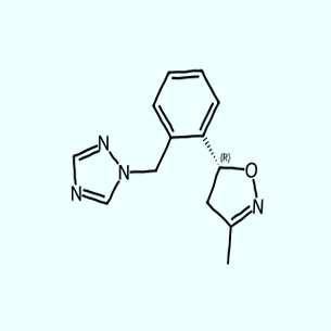 CC1=NO[C@@H](c2ccccc2Cn2cncn2)C1